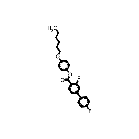 CCCCCCOc1ccc(OC(=O)c2ccc(-c3ccc(F)cc3)cc2F)cc1